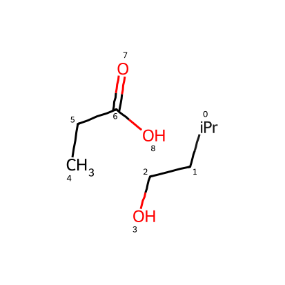 CC(C)CCO.CCC(=O)O